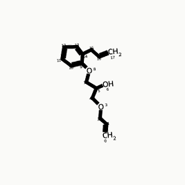 C=CCOCC(O)COc1ccccc1CC=C